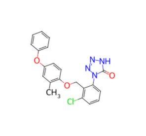 Cc1cc(Oc2ccccc2)ccc1OCc1c(Cl)cccc1-n1nn[nH]c1=O